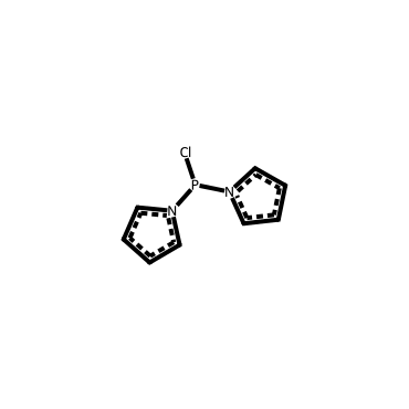 ClP(n1cccc1)n1cccc1